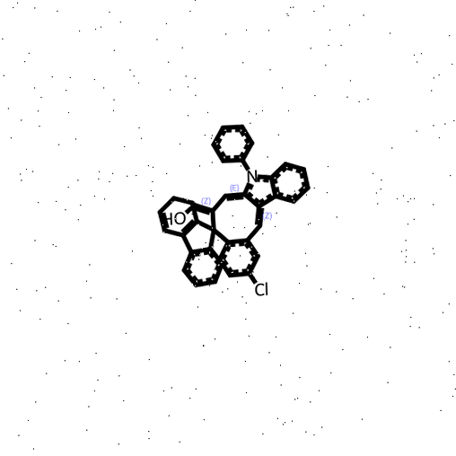 O/C=C1/C=c2\c(c3ccccc3n2-c2ccccc2)=C/c2cc(Cl)ccc2C12C1=C(C=CCC1)c1ccccc12